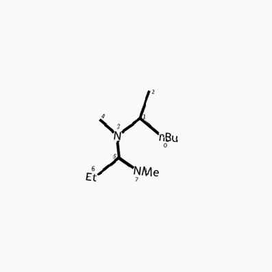 CCCCC(C)N(C)C(CC)NC